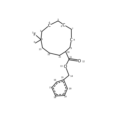 CC1(F)CCCCCCCC(C(=O)OCc2ccccc2)CCC1